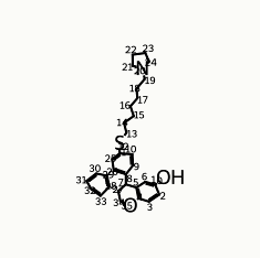 Oc1ccc2c(c1)C(c1ccc(SCCCCCCCN3CCCC3)cc1)[C@@H](c1ccccc1)CO2